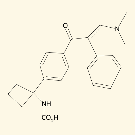 CN(C)C=C(C(=O)c1ccc(C2(NC(=O)O)CCC2)cc1)c1ccccc1